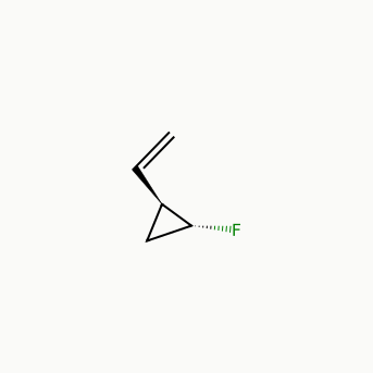 C=C[C@@H]1C[C@H]1F